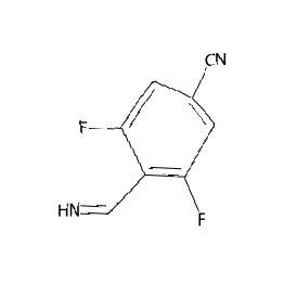 N#Cc1cc(F)c(C=N)c(F)c1